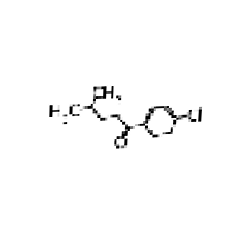 CC(C)CCC(=O)C1=CC=C(Cl)CC1